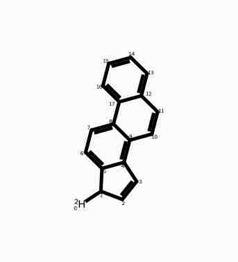 [2H]C1C=Cc2c1ccc1c2ccc2ccccc21